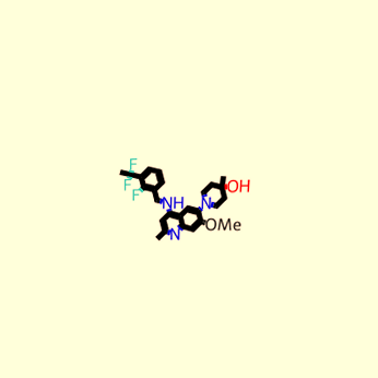 COc1cc2nc(C)cc(NCc3cccc(C(C)(F)F)c3F)c2cc1N1CCC(C)(O)CC1